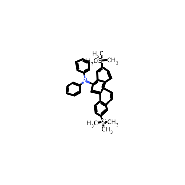 C[Si](C)(C)c1ccc2c(ccc3c4ccc([Si](C)(C)C)cc4c(N(c4ccccc4)c4ccccc4)cc23)c1